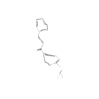 CSc1ccc(C(=O)C=Cc2ccccc2)cc1